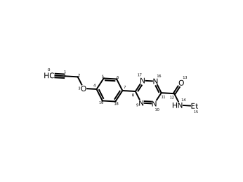 C#CCOc1ccc(-c2nnc(C(=O)NCC)nn2)cc1